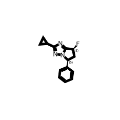 F[C@H]1C[C@@H](c2ccccc2)n2nc(C3CC3)nc21